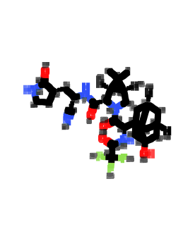 CC1(C)[C@@H]2[C@@H](C(=O)N[C@H](C#N)C[C@@H]3CCNC3=O)N(C(=O)[C@@H](NC(=O)C(F)(F)F)C34C[C@@H]5C[C@@H](CC(O)(C5)C3)C4)C[C@@H]21